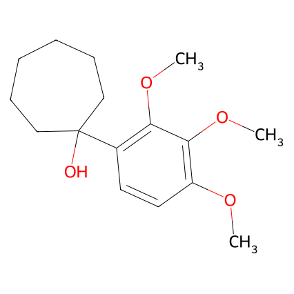 COc1ccc(C2(O)CCCCCC2)c(OC)c1OC